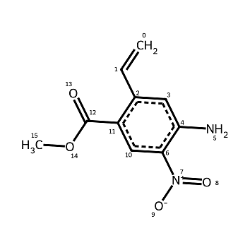 C=Cc1cc(N)c([N+](=O)[O-])cc1C(=O)OC